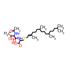 CC(=O)NC(C(=O)NC(CSC/C=C(\C)CCCC(C)CCCC(C)CCCC(C)C)C(=O)O)C(C)O